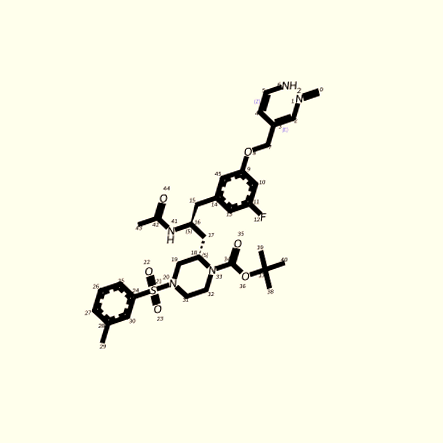 C=N/C=C(\C=C/N)COc1cc(F)cc(C[C@@H](C[C@H]2CN(S(=O)(=O)c3cccc(C)c3)CCN2C(=O)OC(C)(C)C)NC(C)=O)c1